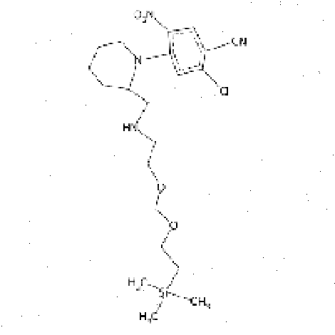 C[Si](C)(C)CCOCOCCNCC1CCCCN1c1cc(Cl)c(C#N)cc1[N+](=O)[O-]